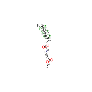 C=COC(=O)C#C/C=C/C(=O)OCCC(F)(F)C(F)(F)C(F)(F)C(F)(F)C(F)(F)C(F)(F)F